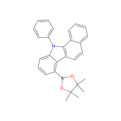 CC1(C)OB(c2cccc3c2c2ccc4ccccc4c2n3-c2ccccc2)OC1(C)C